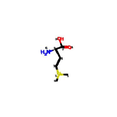 C[S+](C)CC[C@H](N)C(=O)O